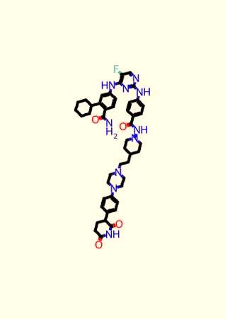 NC(=O)c1ccc(Nc2nc(Nc3ccc(C(=O)NN4CCC(CCN5CCN(c6ccc(C7CCC(=O)NC7=O)cc6)CC5)CC4)cc3)ncc2F)cc1C1CCCCC1